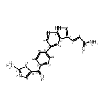 NC(=O)C=Cc1c[nH]c2ncc(-c3ccc(C(=O)c4cnc(C(F)(F)F)s4)cc3)cc12